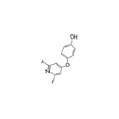 Oc1ccc(Oc2cc(I)nc(I)c2)cc1